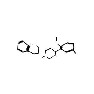 COc1ccc(F)cc1C1CCN(C[C@@H](CN)Cc2ccccc2)CC1